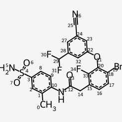 Cc1cc(S(N)(=O)=O)ccc1NC(=O)Cc1ccc(Br)c(Oc2cc(C#N)cc(C(F)F)c2)c1F